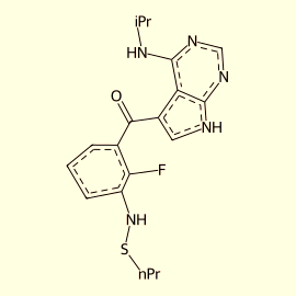 CCCSNc1cccc(C(=O)c2c[nH]c3ncnc(NC(C)C)c23)c1F